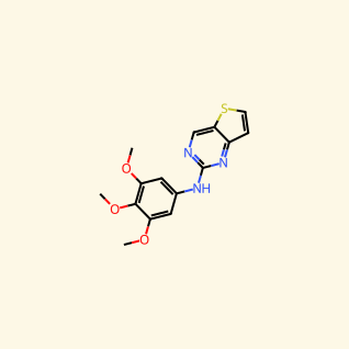 COc1cc(Nc2ncc3sccc3n2)cc(OC)c1OC